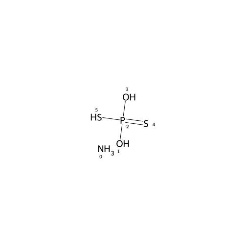 N.OP(O)(=S)S